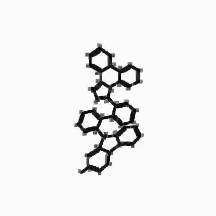 Cc1ccc2c3ccccc3n(-c3ccccc3-c3ccccc3-c3nnc4c5ccccc5c5ccccc5n34)c2c1